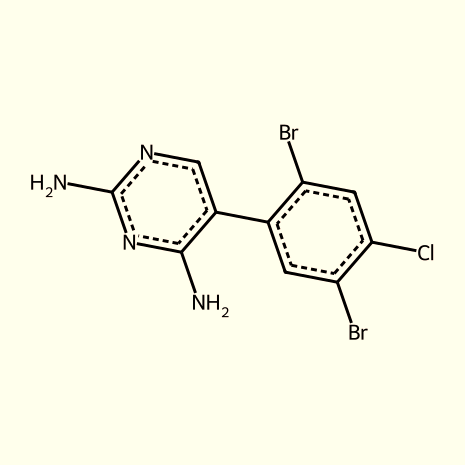 Nc1ncc(-c2cc(Br)c(Cl)cc2Br)c(N)n1